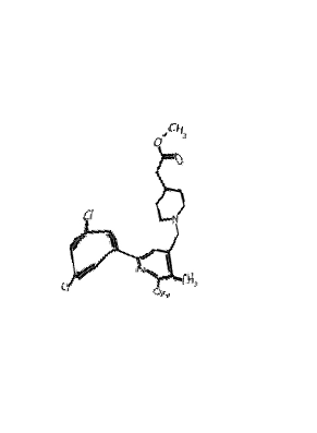 COC(=O)CC1CCN(Cc2cc(-c3cc(Cl)cc(Cl)c3)nc(O)c2C)CC1